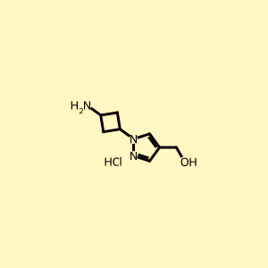 Cl.NC1CC(n2cc(CO)cn2)C1